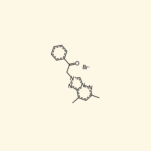 Cc1cc(C)c2n[n+](CC(=O)c3ccccc3)cn2n1.[Br-]